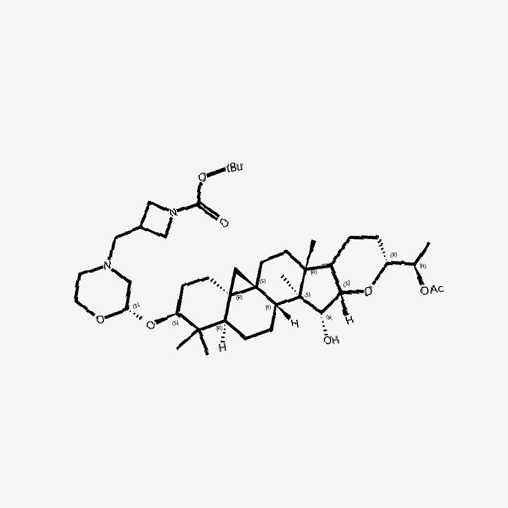 CC(=O)O[C@H](C)[C@H]1CCC2[C@H](O1)[C@H](O)[C@@]1(C)[C@@H]3CC[C@H]4C(C)(C)[C@@H](O[C@H]5CN(CC6CN(C(=O)OC(C)(C)C)C6)CCO5)CC[C@@]45C[C@@]35CC[C@]21C